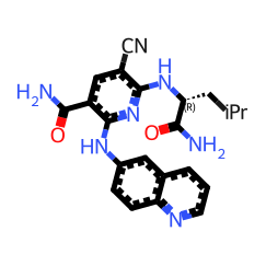 CC(C)C[C@@H](Nc1nc(Nc2ccc3ncccc3c2)c(C(N)=O)cc1C#N)C(N)=O